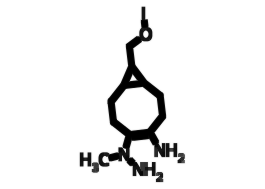 CN(N)/C1=C(\N)CCC2C(CC1)C2COI